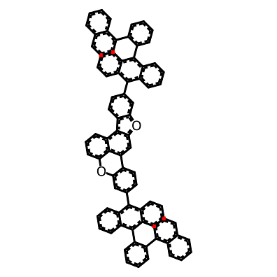 c1ccc(-c2c3ccccc3c(-c3ccc4c(c3)Oc3cccc5c3c-4cc3oc4cc(-c6c7ccccc7c(-c7ccccc7-c7cccc8ccccc78)c7ccccc67)ccc4c35)c3ccccc23)c(-c2cccc3ccccc23)c1